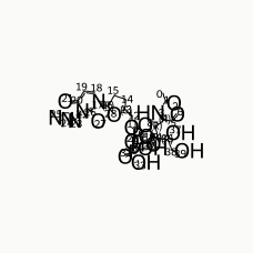 CC(=O)N[C@@H](C=O)[C@@H](OP(=O)(OC[C@@H]1CC[C@H](n2ccc(=O)n(N=[N+]=[N-])c2=O)O1)OP(=O)(O)O)[C@H](O)[C@H](O)CO